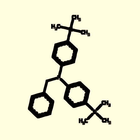 C[Si](C)(C)c1ccc(P(Cc2ccccc2)c2ccc([Si](C)(C)C)cc2)cc1